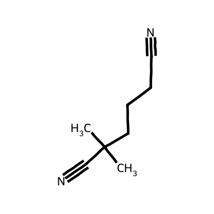 CC(C)(C#N)CCCC#N